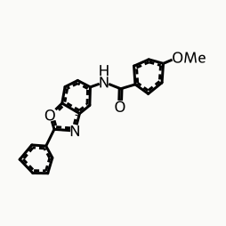 COc1ccc(C(=O)Nc2ccc3oc(-c4ccccc4)nc3c2)cc1